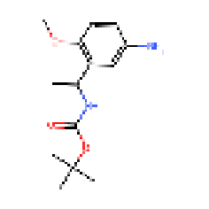 COc1ccc(N)cc1C(C)NC(=O)OC(C)(C)C